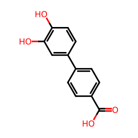 O=C(O)c1ccc(-c2ccc(O)c(O)c2)cc1